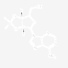 CC1(C)O[C@@H]2C(CO)OC(N3C=NC4C(N)=NC=NC43)[C@@H]2O1